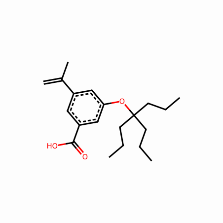 C=C(C)c1cc(OC(CCC)(CCC)CCC)cc(C(=O)O)c1